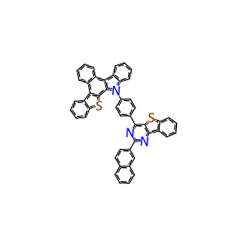 c1ccc2cc(-c3nc(-c4ccc(-n5c6ccccc6c6c7ccccc7c7c8ccccc8sc7c65)cc4)c4sc5ccccc5c4n3)ccc2c1